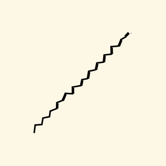 [CH]=CC=CC=CC=CC=CC=CC=CC=CC=CC=CCCCCCC